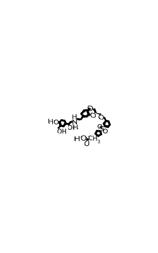 CC(=O)O.O=S(=O)(c1cccc(COC[C@@H]2COc3ccc(CCNC[C@H](O)c4ccc(O)c(CO)c4)cc3O2)c1)C1CCCC1